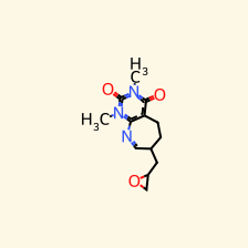 Cn1c2c(c(=O)n(C)c1=O)CCC(CC1CO1)C=N2